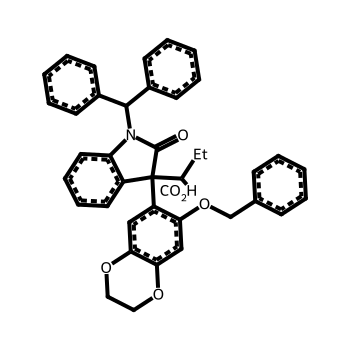 CCC(C(=O)O)C1(c2cc3c(cc2OCc2ccccc2)OCCO3)C(=O)N(C(c2ccccc2)c2ccccc2)c2ccccc21